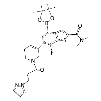 CN(C)C(=O)c1cc2c(B3OC(C)(C)C(C)(C)O3)cc(C3=CCCN(C(=O)CCn4cccn4)C3)c(F)c2s1